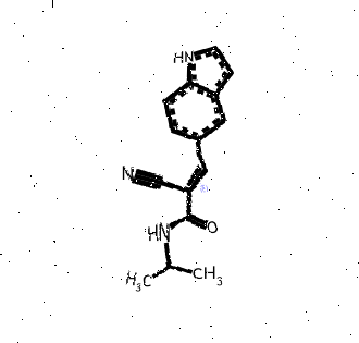 CC(C)NC(=O)/C(C#N)=C/c1ccc2[nH]ccc2c1